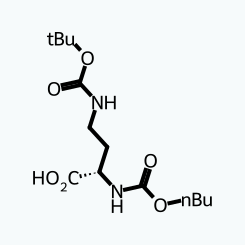 CCCCOC(=O)N[C@@H](CCNC(=O)OC(C)(C)C)C(=O)O